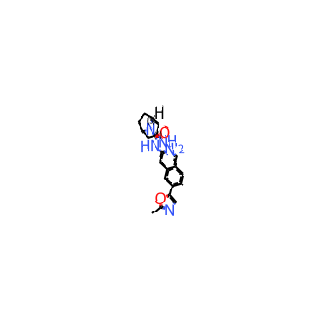 Cc1ncc(-c2ccc3cnc(NC(=O)N4C5CC[C@H]4C[C@@H](N)C5)cc3c2)o1